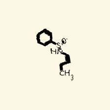 CC/C=C\N[S+]([O-])c1ccccc1